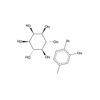 Cc1ccc(C(C)C)c(O)c1.O[C@H]1[C@H](O)[C@@H](O)[C@H](O)[C@@H](O)[C@H]1O